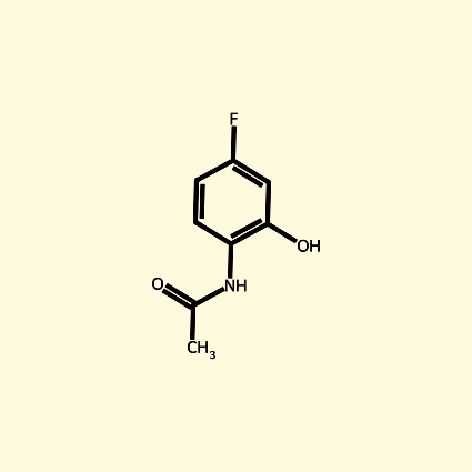 CC(=O)Nc1ccc(F)cc1O